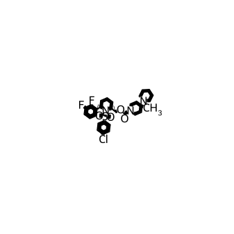 CC1(N2CCCCC2)CCN(C(=O)OC[C@@H]2CCC[C@H](c3cccc(F)c3F)N2S(=O)(=O)c2ccc(Cl)cc2)CC1